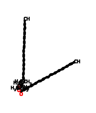 C#CC#CC#CC#CC#CC#CC#CC#CC#CC#CC#CC#CC#CC#CC(=O)O[Si](C)(C)O[Si](C)(C)C[Si](C)(C)C#CC#CC#CC#CC#CC#CC#CC#CC#CC#CC#CC#CC#CC#C